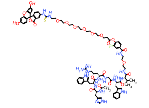 CC(=O)N[C@@H](Cc1c[nH]cn1)C(=O)N[C@@H](Cc1c[nH]c2ccccc12)C(=O)N[C@@H](CCCNC(=N)N)C(=O)NCC(=O)N[C@@H](Cc1c[nH]c2ccccc12)C(=O)N[C@H](C(=O)NCCOCCNC(=O)c1ccc(OC(=O)CCOCCOCCOCCOCCOCCOCCNC(=S)Nc2ccc3c(c2)C(=O)OC32c3ccc(O)cc3Oc3cc(O)ccc32)c(F)c1)C(C)C